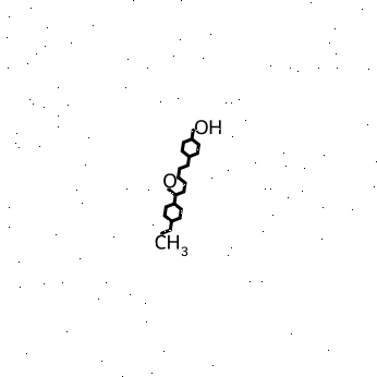 CCCC1CCC(C2CCC(CCC3CCC(CO)CC3)OC2)CC1